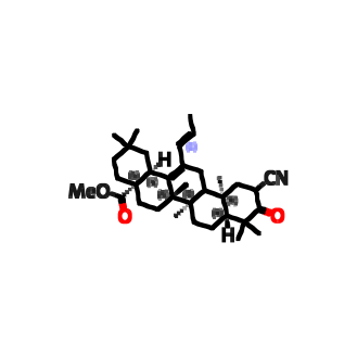 C/C=C/C1=C2[C@@H]3CC(C)(C)CC[C@]3(C(=O)OC)CC[C@@]2(C)[C@]2(C)CC[C@H]3C(C)(C)C(=O)C(C#N)C[C@]3(C)C2C1